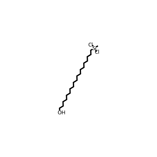 C[Si](Cl)(Cl)CCCCCCCCCCCCCCCCCCCO